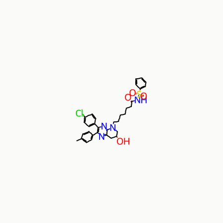 Cc1ccc(-c2nc3c(nc2-c2ccc(Cl)cc2)N(CCCCCCC(=O)NS(=O)(=O)c2ccccc2)CC(O)C3)cc1